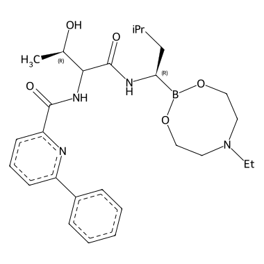 CCN1CCOB([C@H](CC(C)C)NC(=O)C(NC(=O)c2cccc(-c3ccccc3)n2)[C@@H](C)O)OCC1